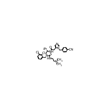 CC(C)C(CN(Cc1cccc(Cl)c1Cl)C(=S)NCCN(C)C)NC(=O)Cc1cncn1Cc1ccc(C#N)cc1